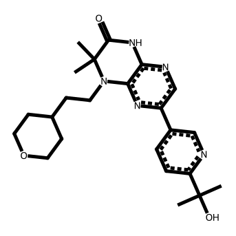 CC(C)(O)c1ccc(-c2cnc3c(n2)N(CCC2CCOCC2)C(C)(C)C(=O)N3)cn1